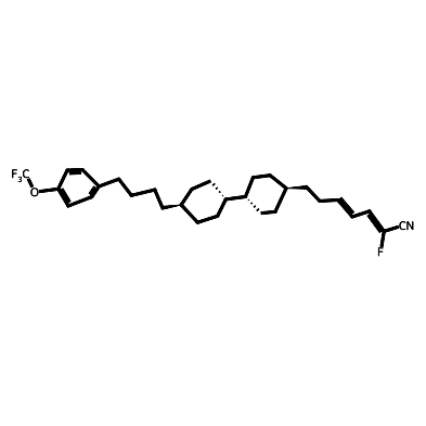 N#CC(F)=CC=CCC[C@H]1CC[C@H]([C@H]2CC[C@H](CCCCc3ccc(OC(F)(F)F)cc3)CC2)CC1